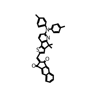 Cc1ccc(N(c2ccc(C)cc2)c2ccc3c(n2)C(C)(C)c2cc(C=C4C(=O)c5cc6ccccc6cc5C4=O)sc2-3)cc1